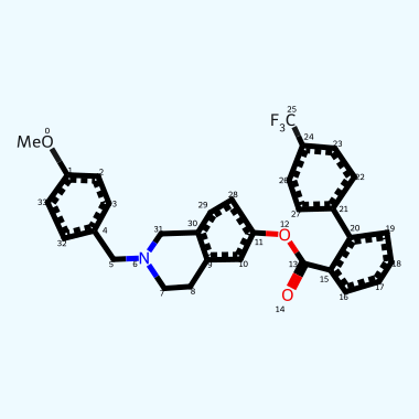 COc1ccc(CN2CCc3cc(OC(=O)c4ccccc4-c4ccc(C(F)(F)F)cc4)ccc3C2)cc1